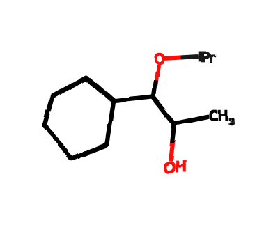 CC(C)OC(C(C)O)C1CCCCC1